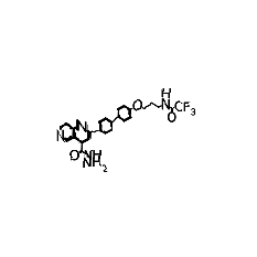 NNC(=O)c1cc(-c2ccc(-c3ccc(OCCCNC(=O)C(F)(F)F)cc3)cc2)nc2ccncc12